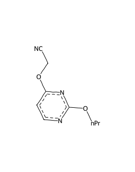 CCCOc1nccc(OCC#N)n1